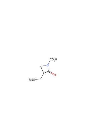 CSCC1CN(C(=O)O)C1=O